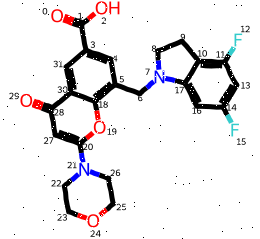 O=C(O)c1cc(CN2CCc3c(F)cc(F)cc32)c2oc(N3CCOCC3)cc(=O)c2c1